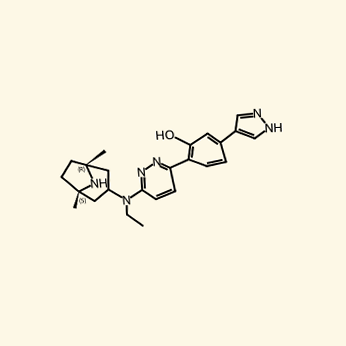 CCN(c1ccc(-c2ccc(-c3cn[nH]c3)cc2O)nn1)C1C[C@]2(C)CC[C@](C)(C1)N2